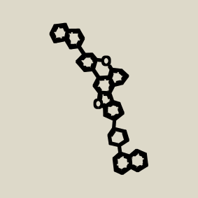 C1=CC(c2cccc3ccccc23)CC=C1c1ccc2c(c1)oc1cc3c4c(cccc4c12)Oc1cc(-c2ccc4ccccc4c2)ccc1-3